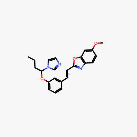 CCCC(Oc1cccc(/C=C/c2nc3ccc(OC)cc3o2)c1)n1ccnc1